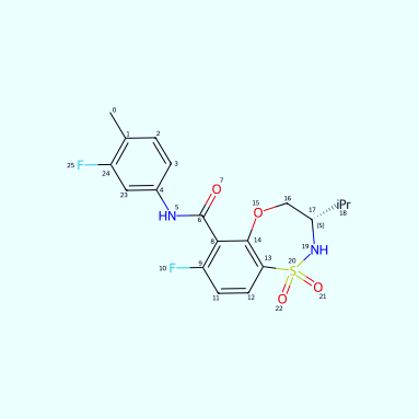 Cc1ccc(NC(=O)c2c(F)ccc3c2OC[C@H](C(C)C)NS3(=O)=O)cc1F